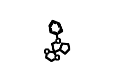 c1ccc(OCC2(C3CCCC3)OCCO2)cc1